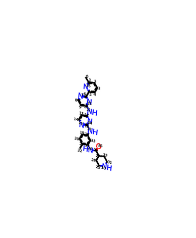 Cc1cccc(-c2nccc(Nc3ccnc(Nc4ccc(C)c(NC(=O)C5CCNCC5)c4)n3)n2)n1